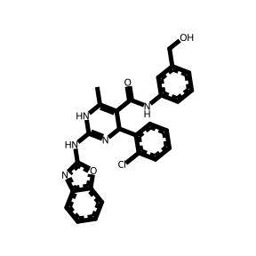 CC1=C(C(=O)Nc2cccc(CO)c2)C(c2ccccc2Cl)N=C(Nc2nc3ccccc3o2)N1